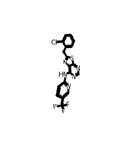 FC(F)(F)c1ccc(Nc2ncnc3sc(Cc4ccccc4Cl)nc23)nc1